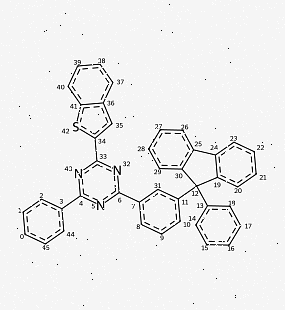 c1ccc(-c2nc(-c3cccc(C4(c5ccccc5)c5ccccc5-c5ccccc54)c3)nc(-c3cc4ccccc4s3)n2)cc1